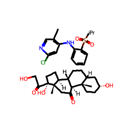 C[C@]12CC[C@@H](O)C[C@H]1CC[C@@H]1[C@@H]2C(=O)C[C@@]2(C)[C@H]1CC[C@]2(O)C(=O)CO.Cc1cnc(Cl)cc1Nc1ccccc1S(=O)(=O)C(C)C